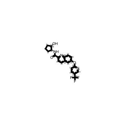 O=C(N[C@@H]1CCC[C@H]1O)c1ccc2cc(Oc3ccc(C(F)(F)F)cn3)ccc2n1